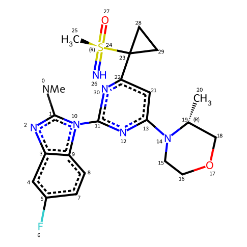 CNc1nc2cc(F)ccc2n1-c1nc(N2CCOC[C@H]2C)cc(C2([S@](C)(=N)=O)CC2)n1